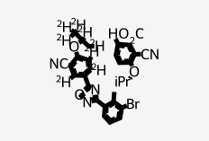 CC(C)Oc1ccc(C(=O)O)cc1C#N.[2H]CC([2H])(Oc1c([2H])c([2H])c(-c2nc(-c3cccc(Br)c3C)no2)c([2H])c1C#N)C([2H])([2H])[2H]